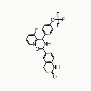 O=C1CCc2cc(C(=O)NC(c3ccc(OC(F)(F)F)cc3)c3ncccc3F)ccc2N1